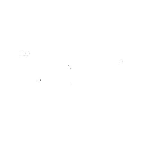 O=CC1CN([C@@H](CC2CCC2)C(=O)O)CC1c1ccccc1